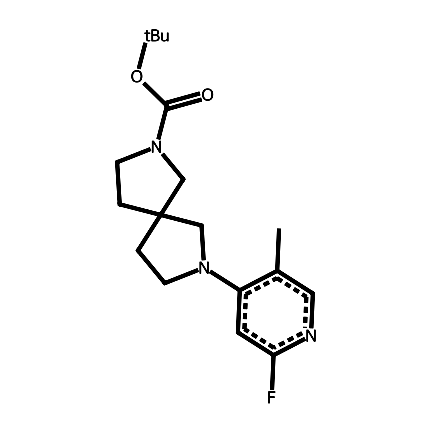 Cc1cnc(F)cc1N1CCC2(CCN(C(=O)OC(C)(C)C)C2)C1